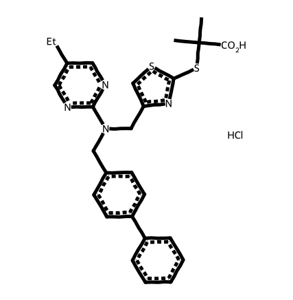 CCc1cnc(N(Cc2ccc(-c3ccccc3)cc2)Cc2csc(SC(C)(C)C(=O)O)n2)nc1.Cl